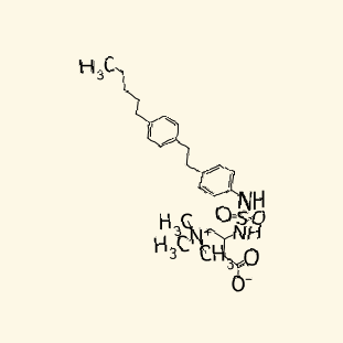 CCCCCc1ccc(CCc2ccc(NS(=O)(=O)NC(CC(=O)[O-])C[N+](C)(C)C)cc2)cc1